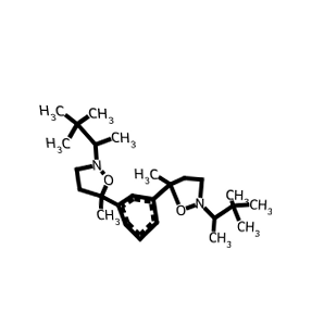 CC(N1CCC(C)(c2cccc(C3(C)CCN(C(C)C(C)(C)C)O3)c2)O1)C(C)(C)C